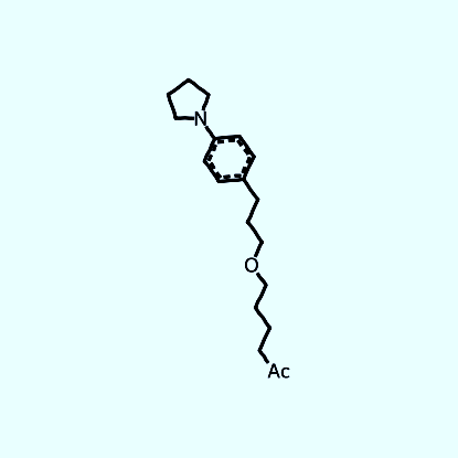 CC(=O)CCCCOCCCc1ccc(N2CCCC2)cc1